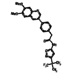 COc1cc2cc(-c3ccc(CC(=O)Nc4cc(C(C)(C)C(F)(F)F)no4)cc3)cnc2cc1OC